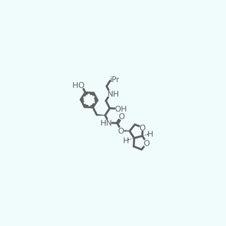 CC(C)CNCC(O)[C@H](Cc1ccc(O)cc1)NC(=O)O[C@H]1CO[C@H]2OCC[C@H]21